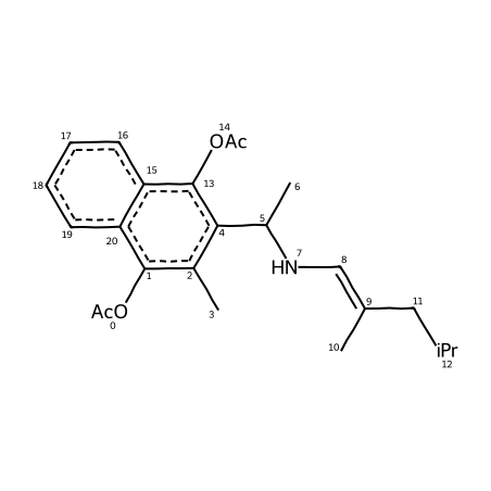 CC(=O)Oc1c(C)c(C(C)N/C=C(\C)CC(C)C)c(OC(C)=O)c2ccccc12